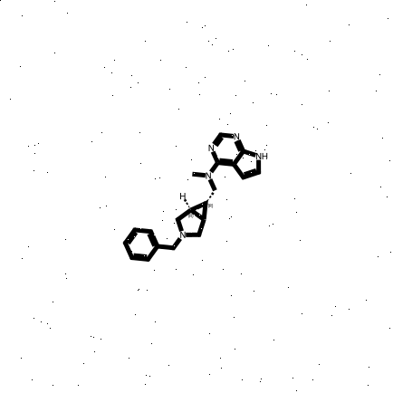 CN(C[C@@H]1C2CN(Cc3ccccc3)C[C@H]21)c1ncnc2[nH]ccc12